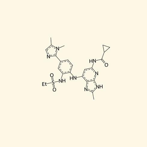 CCS(=O)(=O)Nc1cc(-c2ncc(C)n2C)ccc1Nc1cc(NC(=O)C2CC2)nc2[nH]c(C)nc12